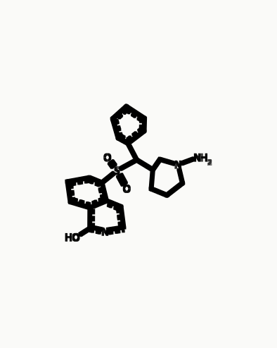 NN1CCCC(C(c2ccccc2)S(=O)(=O)c2cccc3c(O)nccc23)C1